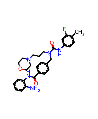 Cc1ccc(NC(=O)N(CCCN2CCOCC2)Cc2ccc(C(=O)Nc3ccccc3N)cc2)cc1F